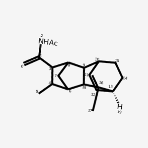 C=C(NC(C)=O)C1C(C)C2CC1C1C3C=C[C@H](CC3)C(C)C21